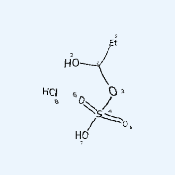 CCC(O)OS(=O)(=O)O.Cl